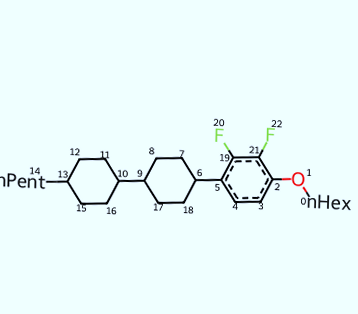 CCCCCCOc1ccc(C2CCC(C3CCC(CCCCC)CC3)CC2)c(F)c1F